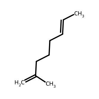 C=C(C)CCCC=CC